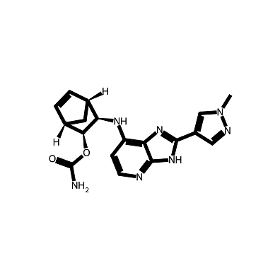 Cn1cc(-c2nc3c(N[C@H]4[C@@H](OC(N)=O)[C@@H]5C=C[C@H]4C5)ccnc3[nH]2)cn1